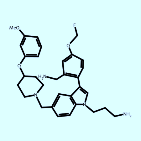 COc1cccc(OC2CCN(Cc3ccc4c(c3)c(-c3ccc(OCF)cc3CN)cn4CCCN)CC2)c1